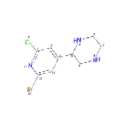 Clc1cc(C2CNCCN2)cc(Br)n1